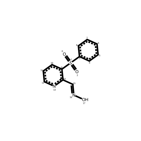 O=S(=O)(c1ccccc1)c1cccnc1C=NO